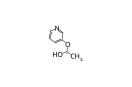 C[C](O)Oc1cccnc1